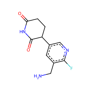 NCc1cc(C2CCC(=O)NC2=O)cnc1F